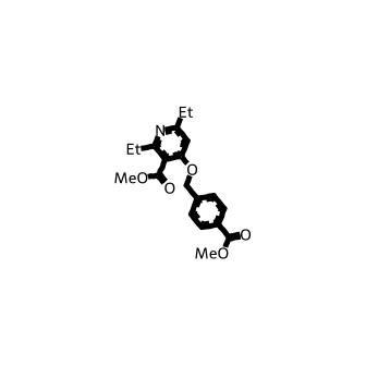 CCc1cc(OCc2ccc(C(=O)OC)cc2)c(C(=O)OC)c(CC)n1